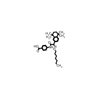 CCCCCCCON=C(C(=O)Nc1ccc(C(=O)O)cc1)c1ccc2c(c1)C(C)(C)CCC2(C)C